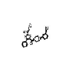 COCCNc1nc(-c2ccccc2)c(C(=O)N2CCN(c3cccc(C#N)c3)CC2)s1